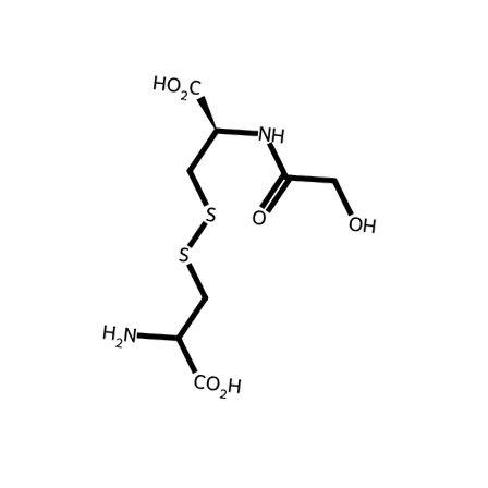 NC(CSSC[C@H](NC(=O)CO)C(=O)O)C(=O)O